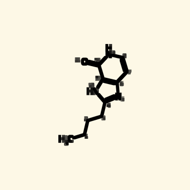 CCCCc1nc2cc[nH]c(=O)c2[nH]1